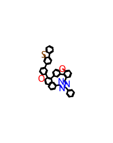 c1ccc(-c2nc(-c3ccccc3)nc(-c3cccc4oc5ccc(-c6cccc7oc8ccc(-c9ccc%10c(c9)sc9ccccc9%10)cc8c67)cc5c34)n2)cc1